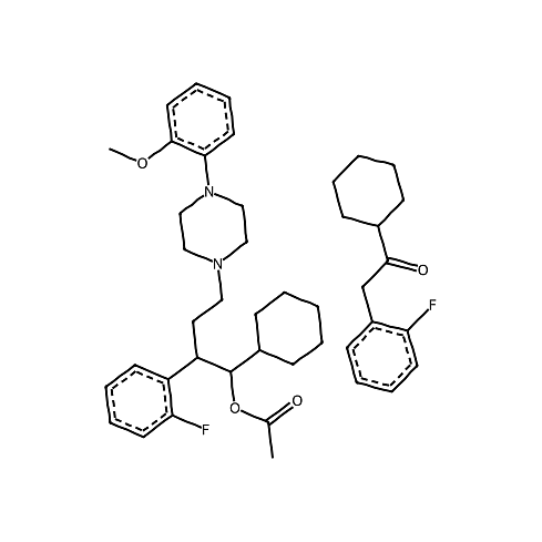 COc1ccccc1N1CCN(CCC(c2ccccc2F)C(OC(C)=O)C2CCCCC2)CC1.O=C(Cc1ccccc1F)C1CCCCC1